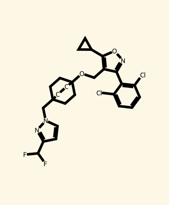 FC(F)c1ccn(CC23CCC(OCc4c(-c5c(Cl)cccc5Cl)noc4C4CC4)(CC2)CC3)n1